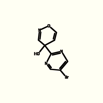 OC1(c2ncc(Br)cn2)C=CON=C1